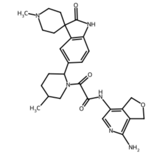 CC1CCC(c2ccc3c(c2)C2(CCN(C)CC2)C(=O)N3)N(C(=O)C(=O)Nc2cnc(N)c3c2COC3)C1